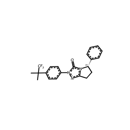 CC(C)(c1ccc(-n2nc3n(c2=O)[C@H](c2ccccc2)CC3)cc1)C(F)(F)F